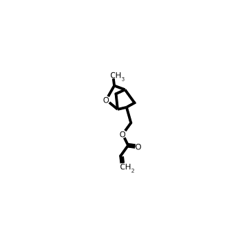 C=CC(=O)OCC1CC2CC1OC2C